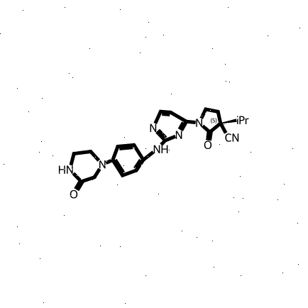 CC(C)[C@]1(C#N)CCN(c2ccnc(Nc3ccc(N4CCNC(=O)C4)cc3)n2)C1=O